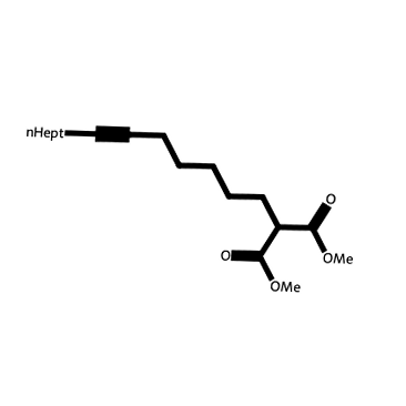 CCCCCCCC#CCCCCCC(C(=O)OC)C(=O)OC